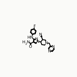 N#CC1CN(Cc2cnccn2)CCC1n1cc(C(N)=O)c(Nc2ccc(F)cc2)n1